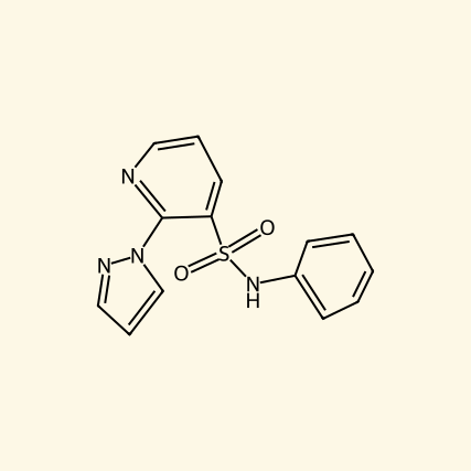 O=S(=O)(Nc1ccccc1)c1cccnc1-n1cccn1